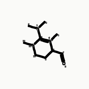 CN(C)C1=[N+](C)C(C=O)CCN1C